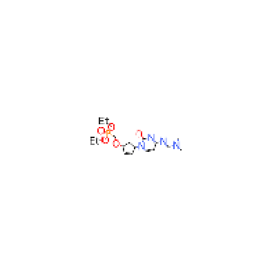 CCOP(=O)(COC1C=CC(n2ccc(N=CN(C)C)nc2=O)C1)OCC